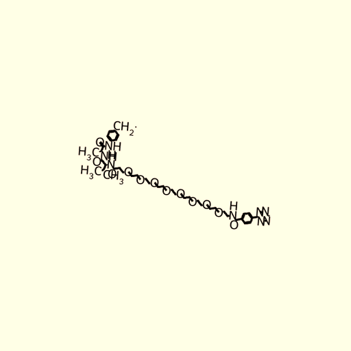 [CH2]c1ccc(NC(=O)[C@H](C)NC(=O)[C@@H](NC(=O)CCOCCOCCOCCOCCOCCOCCOCCOCCNC(=O)c2ccc(-c3nncnn3)cc2)C(C)C)cc1